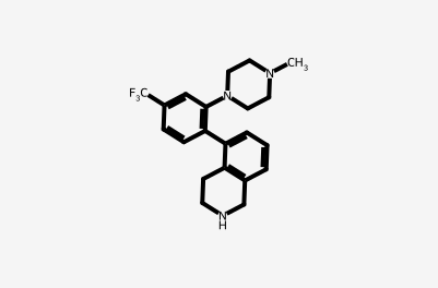 CN1CCN(c2cc(C(F)(F)F)ccc2-c2cccc3c2CCNC3)CC1